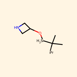 CC(C)C(C)(C)[SiH2]OC1CNC1